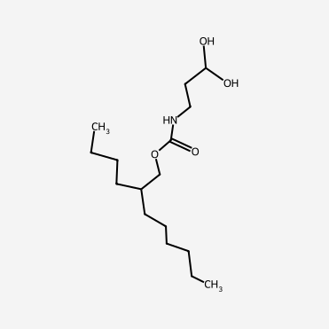 CCCCCCC(CCCC)COC(=O)NCCC(O)O